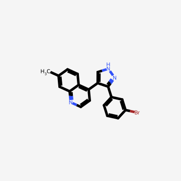 Cc1ccc2c(-c3c[nH]nc3-c3cccc(Br)c3)ccnc2c1